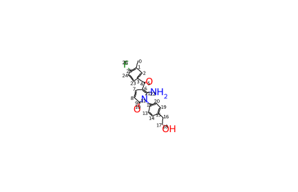 Cc1cc(C(=O)c2ccc(=O)n(-c3ccc(CCO)cc3)c2N)ccc1F